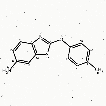 Cc1ccc(Oc2nc3ccc(N)cc3s2)cc1